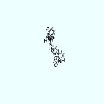 O=C1COc2c(cccc2N2CCN(CCCCNS(=O)(=O)c3cccc(F)c3)CC2)N1